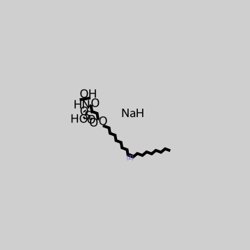 CCCCCCCC/C=C\CCCCCCCCOC(=O)CC(C(=O)NC(C)(C)O)S(=O)(=O)O.[NaH]